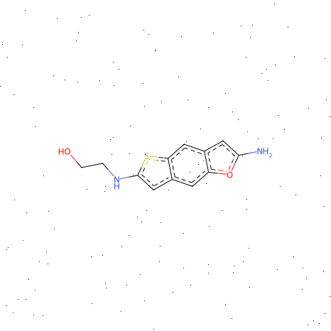 Nc1cc2cc3sc(NCCO)cc3cc2o1